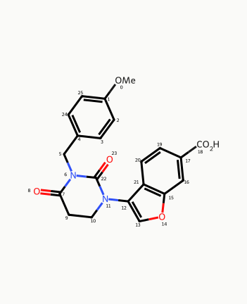 COc1ccc(CN2C(=O)CCN(c3coc4cc(C(=O)O)ccc34)C2=O)cc1